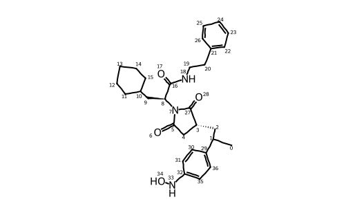 CC(C[C@@H]1CC(=O)N([C@@H](CC2CCCCC2)C(=O)NCCc2ccccc2)C1=O)c1ccc(NO)cc1